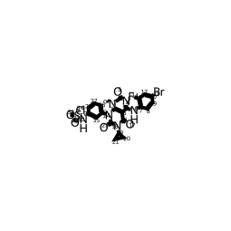 Cn1c(=O)nc(Nc2ccc(Br)cc2F)c2c(=O)n(C3CC3)c(=O)n(-c3cccc(NS(=O)(=O)Cl)c3)c21